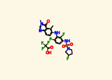 Cc1c(Nc2c(F)ccc(NS(=O)(=O)N3CC[C@@H](F)C3)c2F)ccc2ncn(C)c(=O)c12.O=C(O)C(F)(F)F